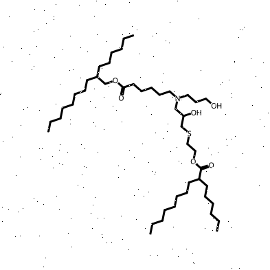 CCCCCCCCC(CCCCCC)COC(=O)CCCCCN(CCCO)CC(O)CSCCOC(=O)C(CCCCCC)CCCCCCCC